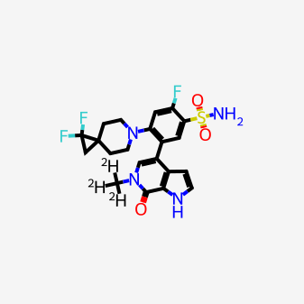 [2H]C([2H])([2H])n1cc(-c2cc(S(N)(=O)=O)c(F)cc2N2CCC3(CC2)CC3(F)F)c2cc[nH]c2c1=O